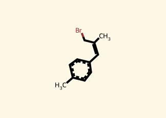 C/C(=C/c1ccc(C)cc1)CBr